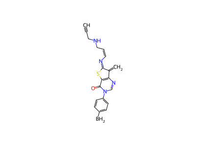 Bc1ccc(-n2cnc3c(c2=O)S/C(=N/C=C\CNCC#C)C3=C)cc1